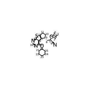 C[Si](C)(C)OC(C#N)C[C@H]1CCc2sc3ncnc(OC4CCCCC4)c3c21